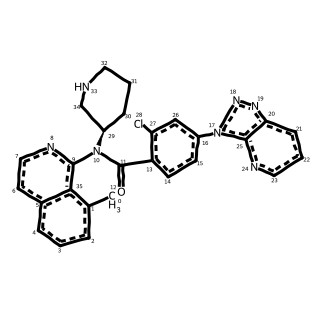 Cc1cccc2ccnc(N(C(=O)c3ccc(-n4nnc5cccnc54)cc3Cl)[C@@H]3CCCNC3)c12